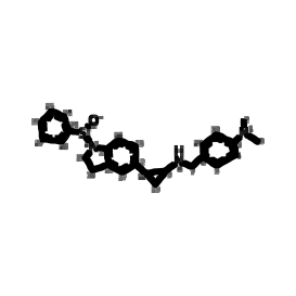 CN(C)c1ccc(CNC2CC2c2ccc3c(c2)CCN3[S+]([O-])c2ccccc2)cc1